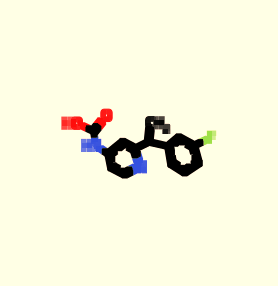 C=C(c1cccc(F)c1)c1cc(NC(=O)O)ccn1